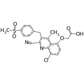 Cc1c(Cc2ccc(S(C)(=O)=O)cc2)c(C#N)nc2c(Cl)ccc(OCC(=O)O)c12